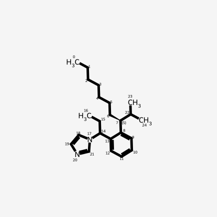 CCCCCCC[C@H](c1ccccc1C(CC)n1ccnc1)C(C)C